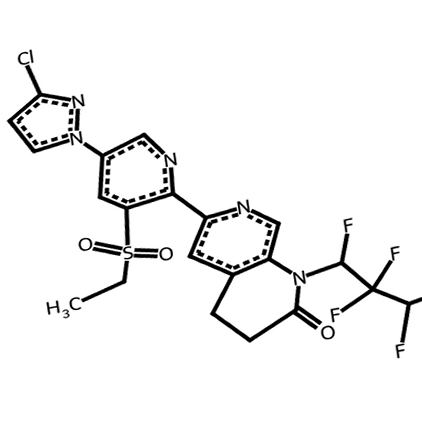 CCS(=O)(=O)c1cc(-n2ccc(Cl)n2)cnc1-c1cc2c(cn1)N(C(F)C(F)(F)C(F)F)C(=O)CC2